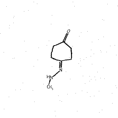 CNN=C1CCC(=O)CC1